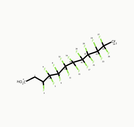 O=C(O)CC(F)C(F)(F)C(F)(F)C(F)(F)C(F)(F)C(F)(F)C(F)(F)C(F)(F)C(F)(F)C(F)(F)F